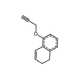 C#CCOc1cccc2c1C=CCC2